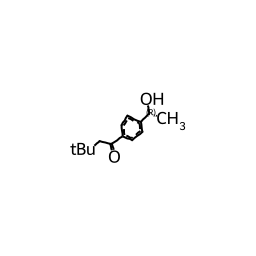 C[C@@H](O)c1ccc(C(=O)CC(C)(C)C)cc1